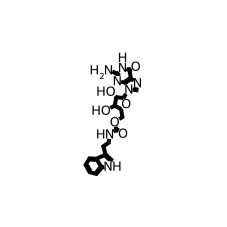 Nc1nc2c(ncn2C2OC(COC(=O)NCCc3c[nH]c4ccccc34)C(O)C2O)c(=O)[nH]1